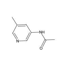 CC(=O)Nc1cncc(C)c1